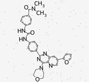 CN(C)C(=O)c1ccc(NC(=O)Nc2ccc(-c3nc(N4CCOCC4)c4ncc(-c5ccco5)cc4n3)cc2)cc1